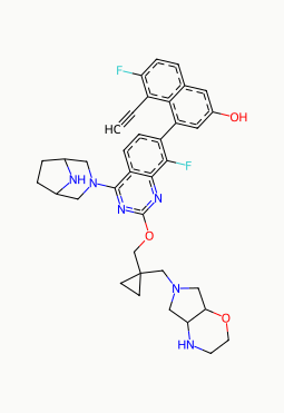 C#Cc1c(F)ccc2cc(O)cc(-c3ccc4c(N5CC6CCC(C5)N6)nc(OCC5(CN6CC7NCCOC7C6)CC5)nc4c3F)c12